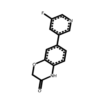 O=C1COc2cc(-c3cncc(F)c3)ccc2N1